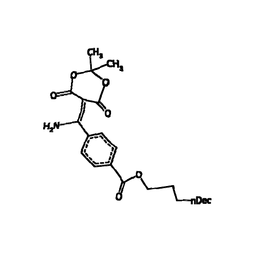 CCCCCCCCCCCCCOC(=O)c1ccc(C(N)=C2C(=O)OC(C)(C)OC2=O)cc1